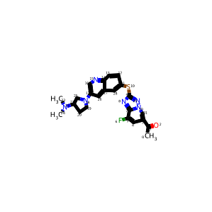 CC(=O)c1cc(F)c2nc(Sc3ccc4ncc(N5CCC(N(C)C)C5)cc4c3)nn2c1